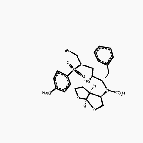 COc1ccc(S(=O)(=O)N(CC(C)C)C[C@H](O)[C@H](Cc2ccccc2)N(C(=O)O)[C@H]2CO[C@H]3OCC[C@H]32)cc1